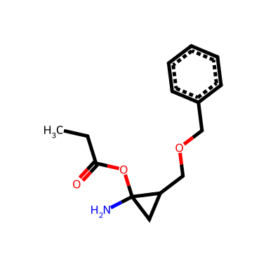 CCC(=O)OC1(N)CC1COCc1ccccc1